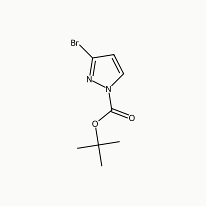 CC(C)(C)OC(=O)n1ccc(Br)n1